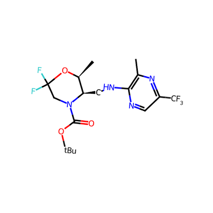 Cc1nc(C(F)(F)F)cnc1NC[C@@H]1[C@H](C)OC(F)(F)CN1C(=O)OC(C)(C)C